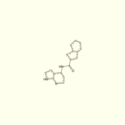 O=C(Nc1ccnc2[nH]ccc12)c1cc2ccccc2s1